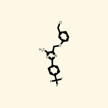 Cc1oc(-c2ccc(C(F)(F)F)cc2)nc1COc1cccc(CCl)c1